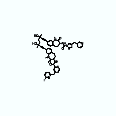 CN1C(=O)C(NC(=O)c2cc(Cc3cccc(F)n3)ccn2)CCc2ccc(C#CC(C)(O)CCC(C)(O)C#Cc3ccc4c(c3)N(C)C(=O)C(NC(=O)n3cc(Cc5cccnc5)cn3)CC4)cc21